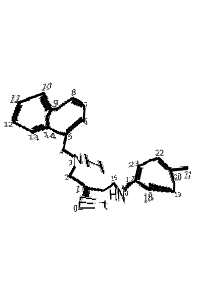 CCC(CNCc1cccc2ccccc12)CNc1ccc(C)cc1